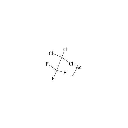 CC(C)=O.FC(F)(F)C(Cl)(Cl)Cl